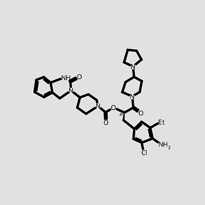 CCc1cc(C[C@@H](OC(=O)N2CCC(N3Cc4ccccc4NC3=O)CC2)C(=O)N2CCC(N3CCCC3)CC2)cc(Cl)c1N